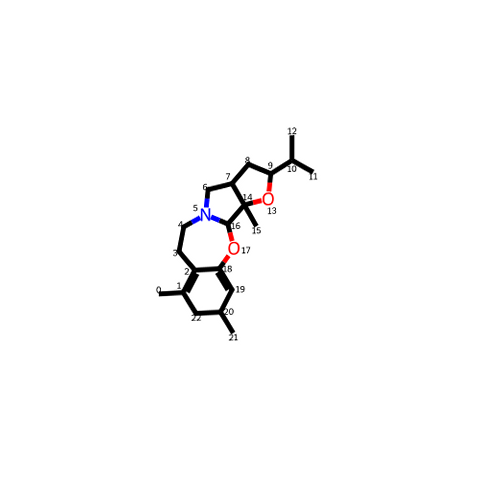 CC1=C2CCN3CC4CC(C(C)C)OC4(C)C3OC2=CC(C)C1